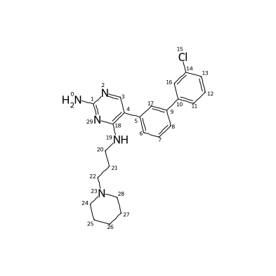 Nc1ncc(-c2cccc(-c3cccc(Cl)c3)c2)c(NCCCN2CCCCC2)n1